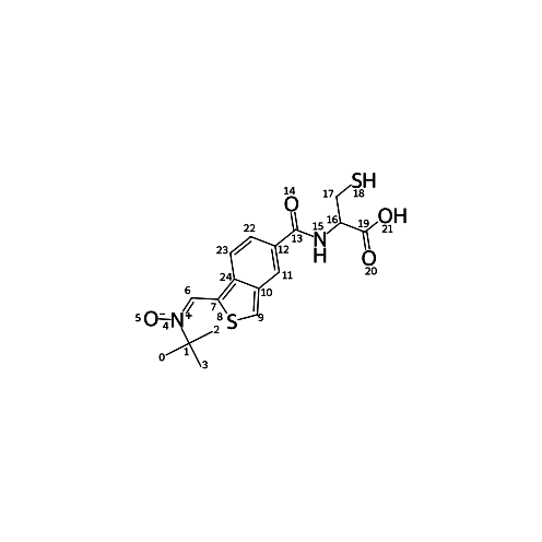 CC(C)(C)/[N+]([O-])=C\c1scc2cc(C(=O)NC(CS)C(=O)O)ccc12